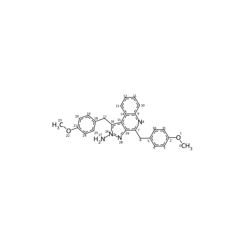 COc1ccc(Cc2nc3ccccc3c3c(Cc4ccc(OC)cc4)n(N)nc23)cc1